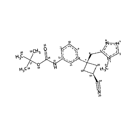 Cn1cnnc1C[C@]1(c2cccc(NC(=O)OC(C)(C)C)c2)C[C@H](C#N)C1